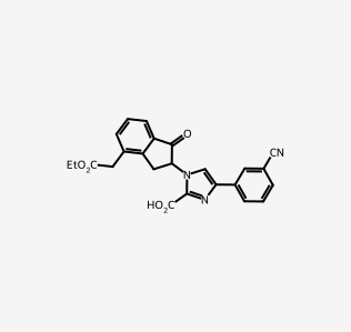 CCOC(=O)Cc1cccc2c1CC(n1cc(-c3cccc(C#N)c3)nc1C(=O)O)C2=O